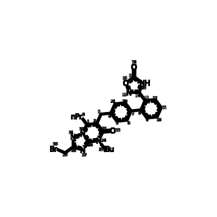 CCCc1c(Cc2ccc(-c3ccccc3-c3noc(=O)[nH]3)cc2)c(=O)n(C(C)CC)c2nc(CBr)nn12